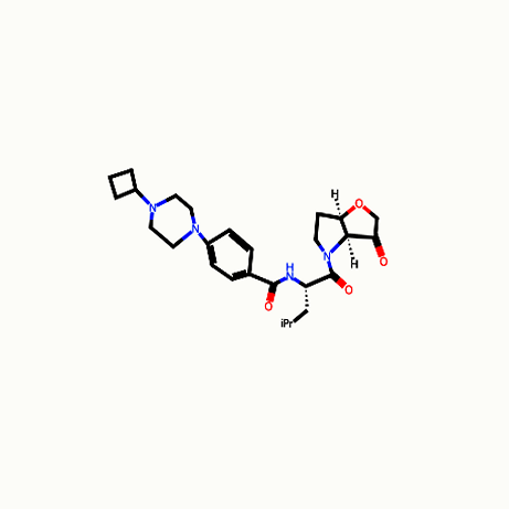 CC(C)C[C@H](NC(=O)c1ccc(N2CCN(C3CCC3)CC2)cc1)C(=O)N1CC[C@H]2OCC(=O)[C@H]21